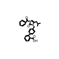 CC(C)Cc1cn(C(=O)c2ccccc2)c(=O)n1Cc1ccc(-c2ccccc2C(=O)O)cc1